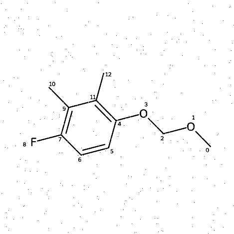 COCOc1ccc(F)c(C)c1C